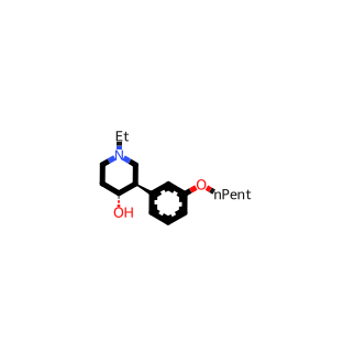 CCCCCOc1cccc([C@@H]2CN(CC)CC[C@H]2O)c1